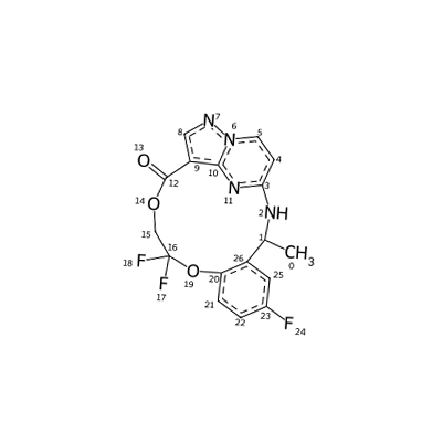 CC1Nc2ccn3ncc(c3n2)C(=O)OCC(F)(F)Oc2ccc(F)cc21